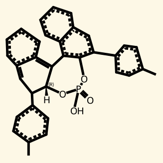 Cc1ccc(-c2cc3ccccc3c3c2OP(=O)(O)O[C@H]2C3=c3ccccc3=CC2c2ccc(C)cc2)cc1